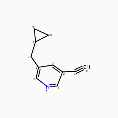 C#Cc1cncc(CC2CC2)c1